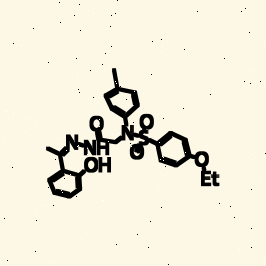 CCOc1ccc(S(=O)(=O)N(CC(=O)NN=C(C)c2ccccc2O)c2ccc(C)cc2)cc1